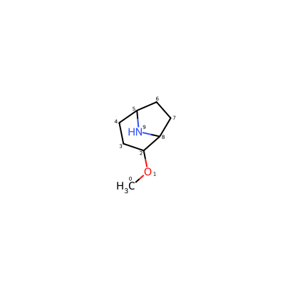 COC1CCC2CCC1N2